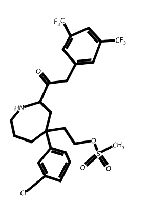 CS(=O)(=O)OCCC1(c2cccc(Cl)c2)CCCNC(C(=O)Cc2cc(C(F)(F)F)cc(C(F)(F)F)c2)C1